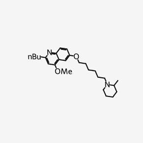 CCCCc1cc(OC)c2cc(OCCCCCCN3CCCCC3C)ccc2n1